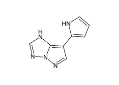 c1c[nH]c(-c2cnn3nc[nH]c23)c1